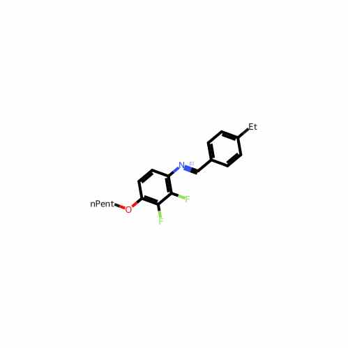 CCCCCOc1ccc(/N=C/c2ccc(CC)cc2)c(F)c1F